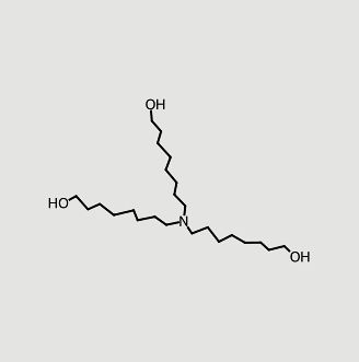 OCCCCCCCCN(CCCCCCCCO)CCCCCCCCO